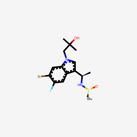 C[C@@H](N[S@@+]([O-])C(C)(C)C)c1cn(CC(C)(C)O)c2cc(Br)c(F)cc12